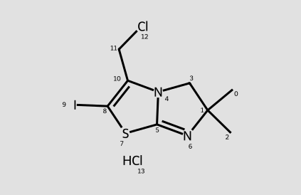 CC1(C)CN2C(=N1)SC(I)=C2CCl.Cl